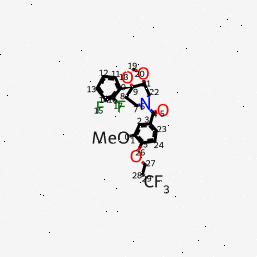 COc1cc(C(=O)N2CC[C@]3(c4cccc(F)c4F)OCOC3C2)ccc1OCCC(F)(F)F